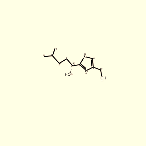 CC(C)[CH]C[C@@H](O)c1nc(CO)cs1